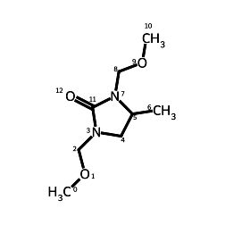 COCN1CC(C)N(COC)C1=O